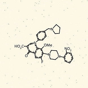 COc1c(N2CCN(c3ccccc3[N+](=O)[O-])CC2)c(F)cc2c(=O)c(C(=O)O)cn(-c3ccc(CN4CCCC4)cc3)c12